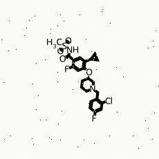 CS(=O)(=O)NC(=O)c1cc(C2CC2)c(O[C@H]2CCCN(Cc3ccc(F)cc3Cl)C2)cc1F